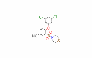 N#Cc1ccc(Oc2cc(Cl)cc(Cl)c2)c(S(=O)(=O)N2CCSCC2)c1